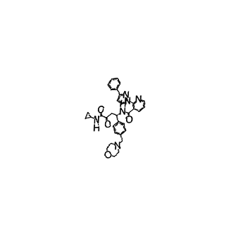 O=C(CC(NC(=O)c1cccnc1-n1ccc(-c2ccccc2)n1)c1ccc(CN2CCOCC2)cc1)C(=O)NC1CC1